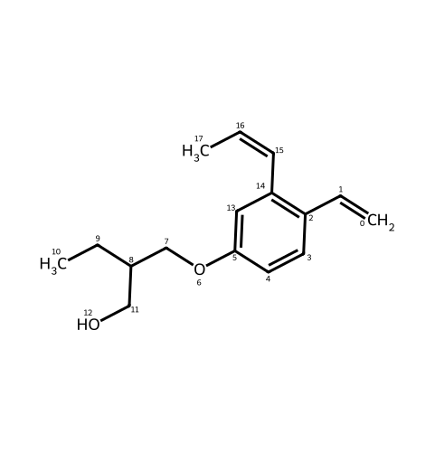 C=Cc1ccc(OCC(CC)CO)cc1/C=C\C